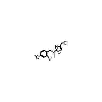 COc1ccc(CNc2nc(CCl)cs2)c(OC)c1